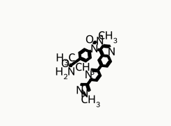 Cn1cc(-c2ccc(-c3ccc4ncc5c(c4c3)n(-c3ccc(C(C)(C)C(N)=O)cc3)c(=O)n5C)cn2)cn1